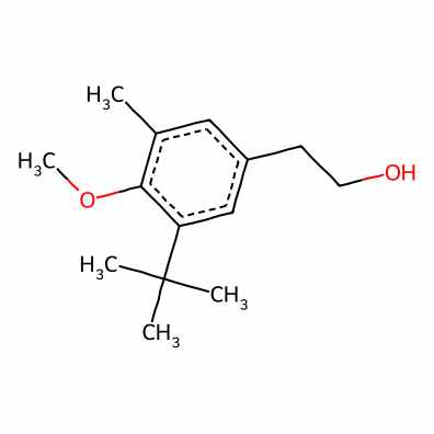 COc1c(C)cc(CCO)cc1C(C)(C)C